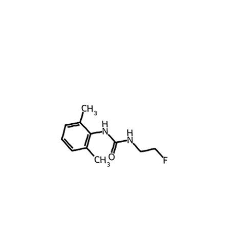 Cc1cccc(C)c1NC(=O)NCCF